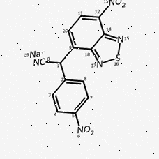 N#CC(c1ccc([N+](=O)[O-])cc1)c1ccc([N+](=O)[O-])c2nsnc12.[Na+]